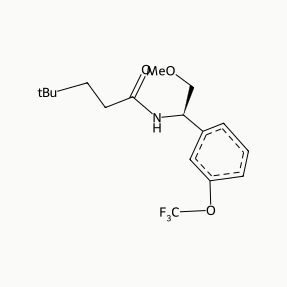 COC[C@H](NC(=O)CCC(C)(C)C)c1cccc(OC(F)(F)F)c1